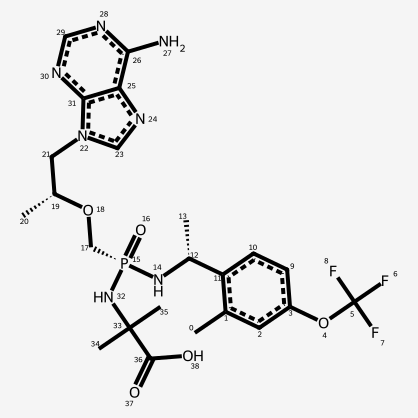 Cc1cc(OC(F)(F)F)ccc1[C@@H](C)N[P@@](=O)(CO[C@H](C)Cn1cnc2c(N)ncnc21)NC(C)(C)C(=O)O